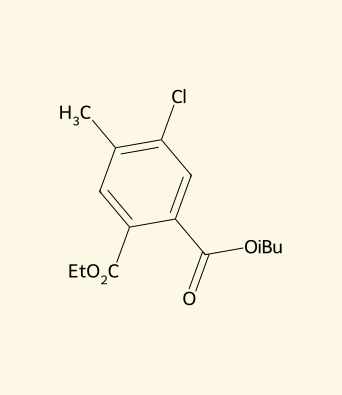 CCOC(=O)c1cc(C)c(Cl)cc1C(=O)OCC(C)C